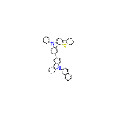 c1ccc(-n2c3ccc(-c4ccc5c(c4)c4ccccc4n5-c4ccc5ccccc5c4)cc3c3c4sc5ccccc5c4ccc32)cc1